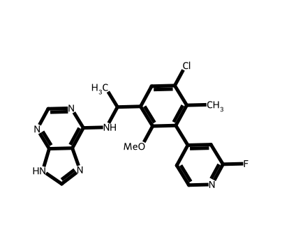 COc1c(C(C)Nc2ncnc3[nH]cnc23)cc(Cl)c(C)c1-c1ccnc(F)c1